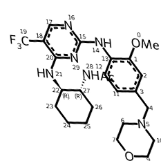 COc1cc(CN2CCOCC2)ccc1Nc1ncc(C(F)(F)F)c(N[C@@H]2CCCC[C@H]2NC(C)=O)n1